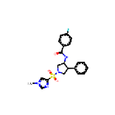 Cn1cnc(S(=O)(=O)N2CC(NC(=O)c3ccc(F)cc3)C(c3ccccc3)C2)c1